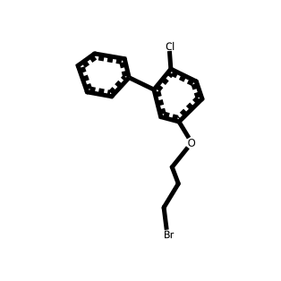 Clc1ccc(OCCCBr)cc1-c1ccccc1